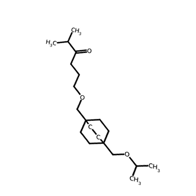 CC(C)OCC12CCC(COCCCC(=O)C(C)C)(CC1)CC2